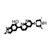 C[C@H]1CN(c2cnc3nc(-c4cc5cn(C)nc5cc4O)ccc3c2)C[C@H](C)N1